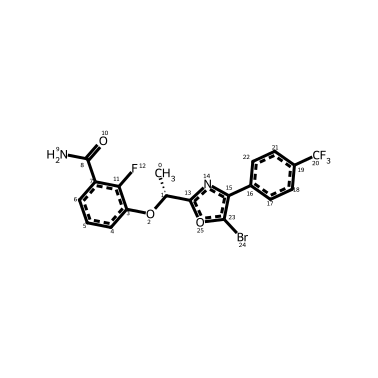 C[C@@H](Oc1cccc(C(N)=O)c1F)c1nc(-c2ccc(C(F)(F)F)cc2)c(Br)o1